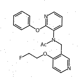 CC(=O)N(Cc1cnccc1OCCF)c1cccnc1Oc1ccccc1